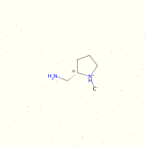 [CH2-][NH+]1CCC[C@H]1CN